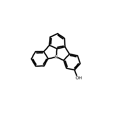 Oc1ccc2c3cccc4c5ccccc5n(c2c1)c43